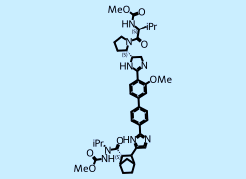 COC(=O)N[C@H](C(=O)N1CCC[C@H]1C1CN=C(c2ccc(-c3ccc(-c4ncc(C5C6CCC(C6)[C@@H]5C(=O)N(NC(=O)OC)C(C)C)[nH]4)cc3)cc2OC)N1)C(C)C